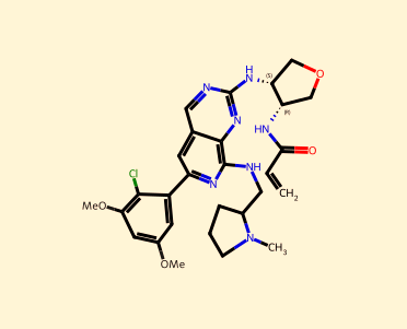 C=CC(=O)N[C@H]1COC[C@H]1Nc1ncc2cc(-c3cc(OC)cc(OC)c3Cl)nc(NCC3CCCN3C)c2n1